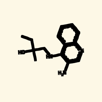 CCC(C)(O)CNc1c(N)cnc2ccccc12